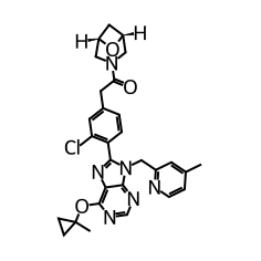 Cc1ccnc(Cn2c(-c3ccc(CC(=O)N4C[C@H]5C[C@@H](C4)O5)cc3Cl)nc3c(OC4(C)CC4)ncnc32)c1